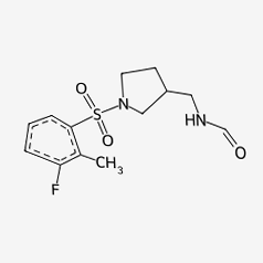 Cc1c(F)cccc1S(=O)(=O)N1CCC(CNC=O)C1